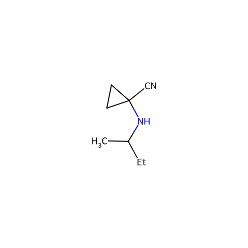 CCC(C)NC1(C#N)CC1